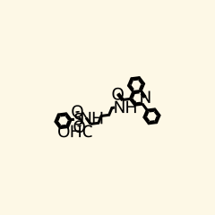 O=CC(CCCCNC(=O)c1cc(-c2ccccc2)nc2ccccc12)NS(=O)(=O)c1ccccc1